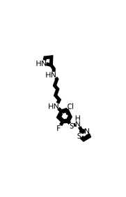 Fc1cc(NCCCCCNCC2CCN2)c(Cl)cc1SNc1nccs1